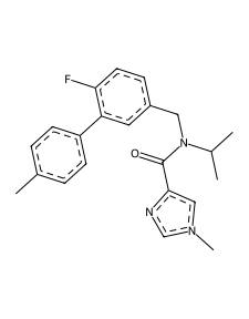 Cc1ccc(-c2cc(CN(C(=O)c3cn(C)cn3)C(C)C)ccc2F)cc1